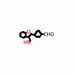 O=Cc1ccc(-c2oc3ccccc3c2CO)cc1